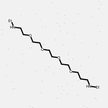 CCNCCCOCCOCCOCCOCCNCC